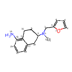 CCN(Cc1ccco1)C1CCc2c(N)cccc2C1